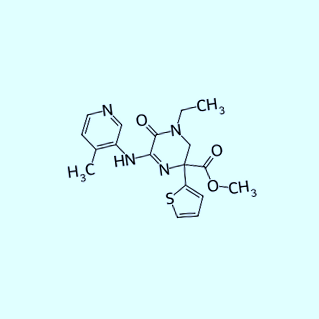 CCN1CC(C(=O)OC)(c2cccs2)N=C(Nc2cnccc2C)C1=O